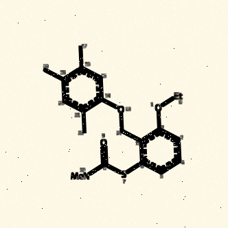 CCOc1cccc(SC(=O)NC)c1COc1cc(C)c(C)cc1C